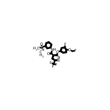 CN=S(C)(=O)c1cccc(NC(=O)c2cc(C(F)(F)F)nnc2Oc2ccc(OCF)c(F)c2)c1